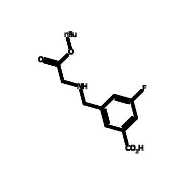 CCCCOC(=O)CNCc1cc(F)cc(C(=O)O)c1